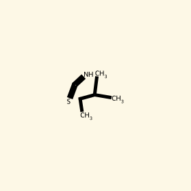 CCC(C)C.N=C=S